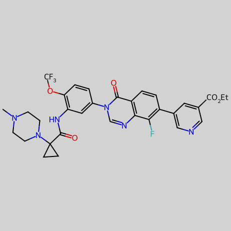 CCOC(=O)c1cncc(-c2ccc3c(=O)n(-c4ccc(OC(F)(F)F)c(NC(=O)C5(N6CCN(C)CC6)CC5)c4)cnc3c2F)c1